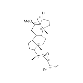 CC[C@@H](C(C)C)[C@H]1O[C@@H]1[C@@H](C)C1CCC2C3C[C@@H](OC)C45C[C@H]4CC[C@]5(C)C3CC[C@@]21C